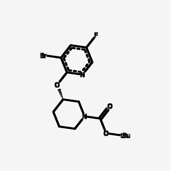 CC(C)(C)OC(=O)N1CCC[C@H](Oc2ncc(F)cc2Br)C1